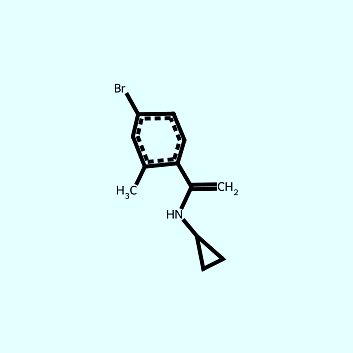 C=C(NC1CC1)c1ccc(Br)cc1C